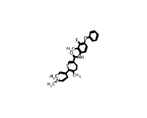 C=N/C=C\C(=C/C)C1=C(C)CCC(C(=O)Nc2ccc(Oc3ccccc3)c(F)c2C)=CS1